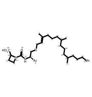 CC(=O)[C@H](CSC/C=C(\C)CCCC(C)CCCC(C)CCCC(C)C)NC(=O)N1CCC1C(=O)O